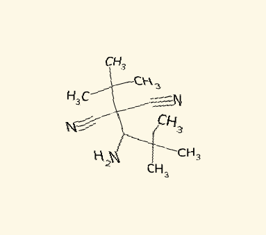 CC(C)(C)C(N)C(C#N)(C#N)C(C)(C)C